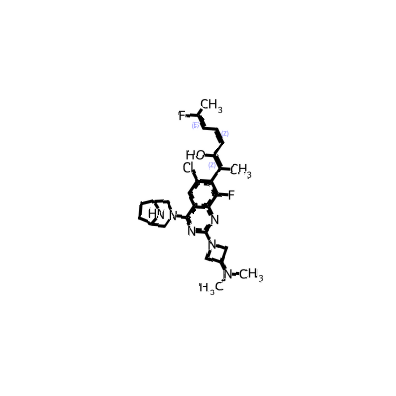 C\C(=C(O)/C=C\C=C(/C)F)c1c(Cl)cc2c(N3CC4CCC(C3)N4)nc(N3CC(N(C)C)C3)nc2c1F